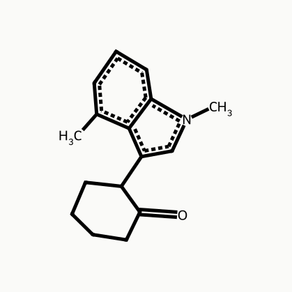 Cc1cccc2c1c(C1CCCCC1=O)cn2C